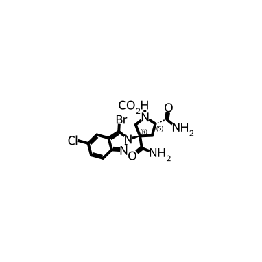 NC(=O)[C@@H]1C[C@@](C(N)=O)(n2nc3ccc(Cl)cc3c2Br)CN1C(=O)O